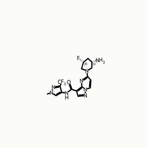 Cn1cc(NC(=O)c2cnn3ccc(N4C[C@@H](N)C[C@@H](F)C4)nc23)c(C(F)(F)F)n1